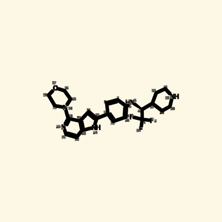 FC(F)(F)[C@@H](Nc1ccc(-c2cc3c(N4CCOCC4)nccc3[nH]2)cc1)C1CCNCC1